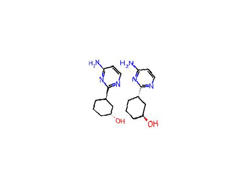 Nc1ccnc([C@@H]2CCC[C@@H](O)C2)n1.Nc1ccnc([C@H]2CCC[C@H](O)C2)n1